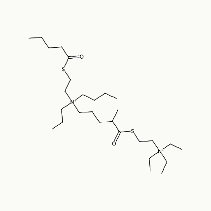 CCCCC(=O)SCC[N+](CCC)(CCCC)CCCC(C)C(=O)SCC[N+](CC)(CC)CC